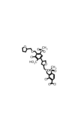 CS(=O)(=O)c1ccc(C(=O)Cl)c(Cl)c1COCC1CC(c2cc(S(C)(=O)=O)c(COCC3CCCO3)c(Cl)c2C(=O)O)CO1